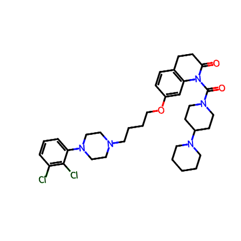 O=C1CCc2ccc(OCCCCN3CCN(c4cccc(Cl)c4Cl)CC3)cc2N1C(=O)N1CCC(N2CCCCC2)CC1